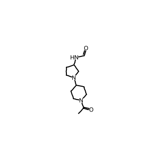 CC(=O)N1CCC(N2CCC(NC=O)C2)CC1